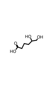 O=C(O)CCCC(O)CO